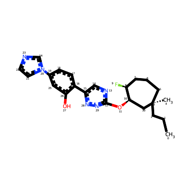 CCC[C@]1(C)CCC[C@H](F)[C@H](Oc2ncc(-c3ccc(-n4ccnc4)cc3O)nn2)C1